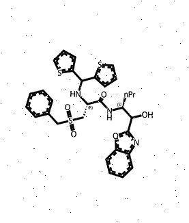 CCC[C@H](NC(=O)[C@H](CS(=O)(=O)Cc1ccccc1)NC(c1cccs1)c1cccs1)C(O)c1nc2ccccc2o1